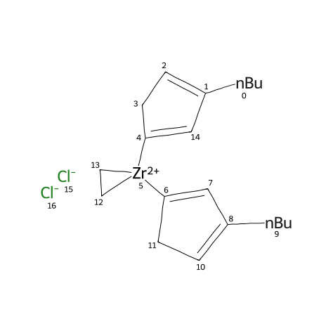 CCCCC1=CC[C]([Zr+2]2([C]3=CC(CCCC)=CC3)[CH2][CH2]2)=C1.[Cl-].[Cl-]